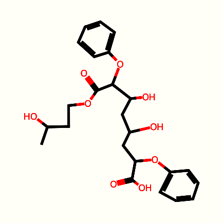 CC(O)CCOC(=O)C(Oc1ccccc1)C(O)CC(O)CC(Oc1ccccc1)C(=O)O